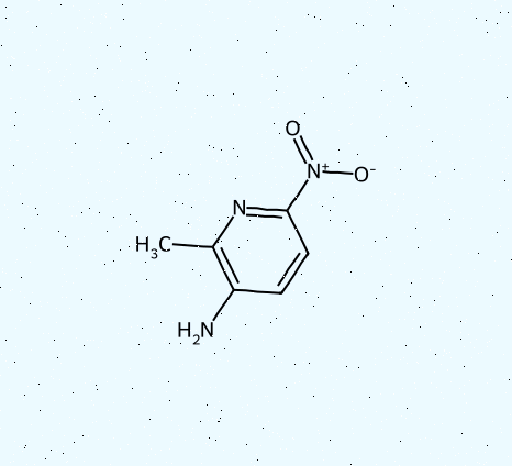 Cc1nc([N+](=O)[O-])ccc1N